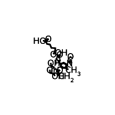 C=CC(=O)OCCO.Cc1ccc(N=C=O)cc1N=C=O.O=C(O)CCCCC(=O)O.OCCO